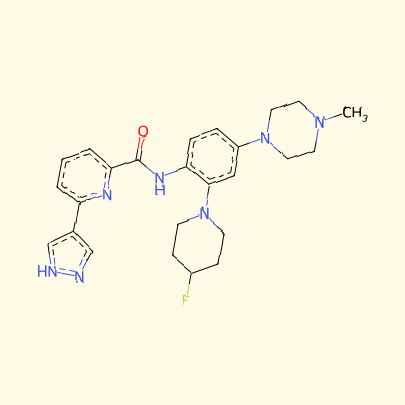 CN1CCN(c2ccc(NC(=O)c3cccc(-c4cn[nH]c4)n3)c(N3CCC(F)CC3)c2)CC1